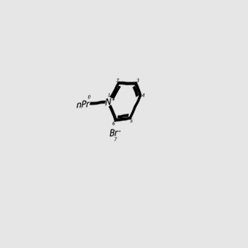 CCC[n+]1ccccc1.[Br-]